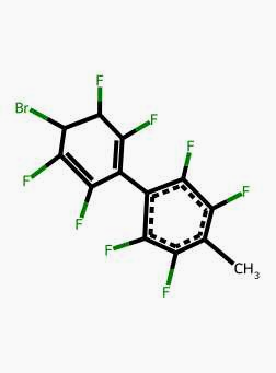 Cc1c(F)c(F)c(C2=C(F)C(F)C(Br)C(F)=C2F)c(F)c1F